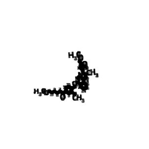 CCc1cc(C(=O)CCCCCOC)ccc1CO/C(=N/C)c1ccccc1-c1cc(C)c(-c2cc(COC)on2)nn1